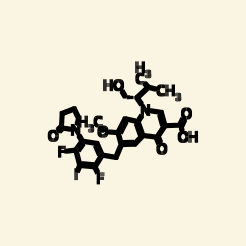 COc1cc2c(cc1Cc1cc(N3CCCC3=O)c(F)c(I)c1F)c(=O)c(C(=O)O)cn2[C@H](CO)C(C)C